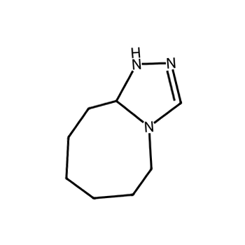 C1=NNC2CCCCCCN12